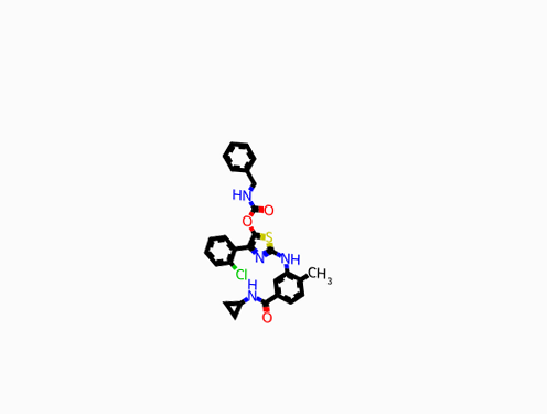 Cc1ccc(C(=O)NC2CC2)cc1Nc1nc(-c2ccccc2Cl)c(OC(=O)NCc2ccccc2)s1